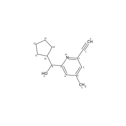 C#Cc1cc(C)cc(C(O)C2CCCC2)n1